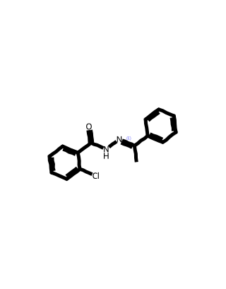 C/C(=N\NC(=O)c1ccccc1Cl)c1ccccc1